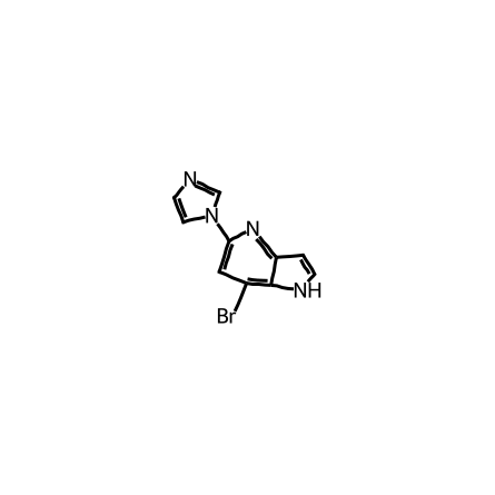 Brc1cc(-n2ccnc2)nc2cc[nH]c12